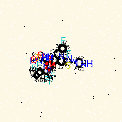 Cn1nc(NS(C)(=O)=O)c2cccc(-c3cc4sc(N5CCNCC5)nc4nc3[C@H](Cc3cc(F)cc(F)c3)NC(=O)Cn3nc(C(F)(F)F)c4c3C(F)(F)[C@@H]3C=C[C@H]43)c21